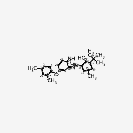 Cc1ccc(SC2=C/C(=N/Nc3cc(C)cc(C(C)(C)C)c3O)C(=N)C=C2)c(C)c1